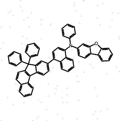 c1ccc(N(c2ccc3c(c2)oc2ccccc23)c2ccc(-c3ccc4c(c3)C(c3ccccc3)(c3ccccc3)c3ccc5ccccc5c3-4)c3ccccc23)cc1